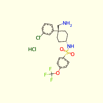 Cl.NC[C@]1(c2cccc(Cl)c2)CC[C@@H](NS(=O)(=O)c2ccc(OC(F)(F)F)cc2)CC1